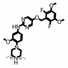 COc1cc(Nc2ncc(OCc3c(F)c(OC)cc(OC)c3F)cn2)ccc1N1C[C@@H](C)N[C@@H](C)C1